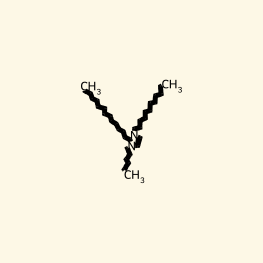 CCCCCCCCCCCCCCC1N(CCCCCC)C=CN1CCCCCCCCCCCC